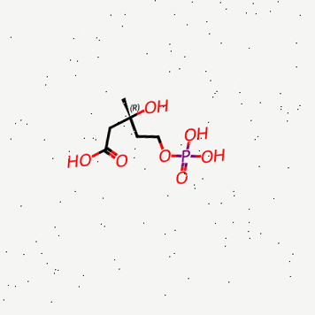 C[C@@](O)(CCOP(=O)(O)O)CC(=O)O